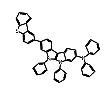 c1ccc(N(c2ccccc2)c2ccc3c4c5ccc(-c6ccc7sc8ccccc8c7c6)cc5n(-c5ccccc5)c4n(-c4ccccc4)c3c2)cc1